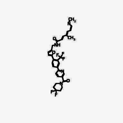 C=N\C=C/C=C(C)/C=C/C(=O)NCc1ccc(-c2ccc(-c3ccc(C(=O)N4CCC(F)(F)CC4)cn3)cc2C(F)(F)F)o1